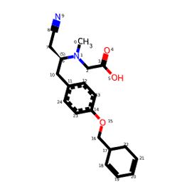 CN(CC(=O)O)[C@H](CC#N)Cc1ccc(OCC2C=CC=CC2)cc1